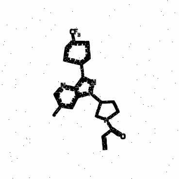 C=CC(=O)N1CCC(n2nc(-c3ccc(C(F)(F)F)cc3)c3ncc(C)cc32)C1